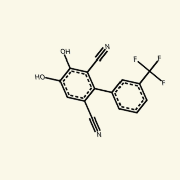 N#Cc1cc(O)c(O)c(C#N)c1-c1cccc(C(F)(F)F)c1